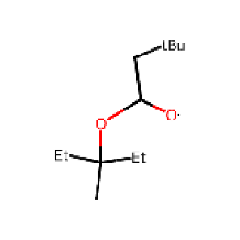 CCC(C)(CC)OC([O])CC(C)(C)C